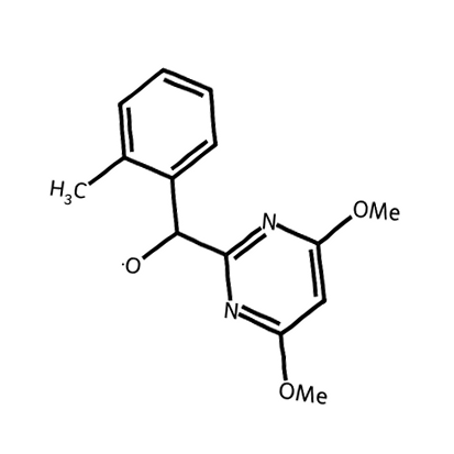 COc1cc(OC)nc(C([O])c2ccccc2C)n1